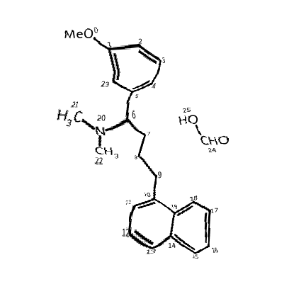 COc1cccc(C(CCCc2cccc3ccccc23)N(C)C)c1.O=CO